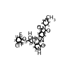 CN1CCC(N2C(=O)c3cc4nc(-c5c(NC[C@@H](O)COc6c(F)ccc(Cl)c6F)cc[nH]c5=O)[nH]c4cc3C2=O)CC1